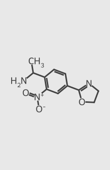 CC(N)c1ccc(C2=NCCO2)cc1[N+](=O)[O-]